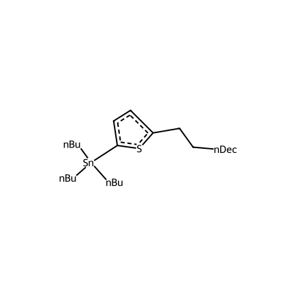 CCCCCCCCCCCCc1cc[c]([Sn]([CH2]CCC)([CH2]CCC)[CH2]CCC)s1